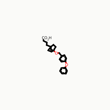 O=C(O)CCCC12CCC(OCc3ccc(Oc4ccccc4)cc3)(CC1)C2